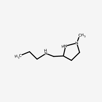 CCCNCC1CCN(C)N1